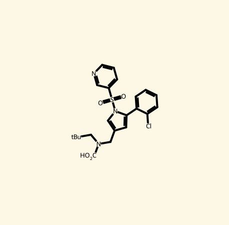 CC(C)(C)CN(Cc1cc(-c2ccccc2Cl)n(S(=O)(=O)c2cccnc2)c1)C(=O)O